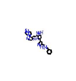 CN1CCN(c2nccc3[nH]c(-c4n[nH]c5ccc(-c6cncc(CNCc7ccccc7)c6)cc45)cc23)CC1